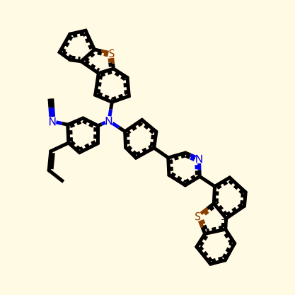 C=Nc1cc(N(c2ccc(-c3ccc(-c4cccc5c4sc4ccccc45)nc3)cc2)c2ccc3sc4ccccc4c3c2)ccc1/C=C\C